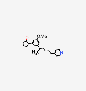 COc1cc(C(C)CCCCc2ccncc2)cc(C2CCCC2=O)c1